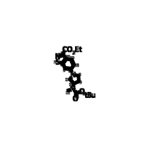 CCOC(=O)c1nsc2cc(N3CCC(N(C)C(=O)OC(C)(C)C)C3)ccc12